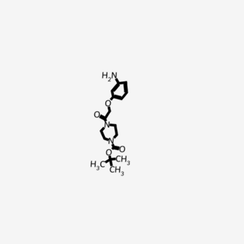 CC(C)(C)OC(=O)N1CCN(C(=O)COc2cccc(N)c2)CC1